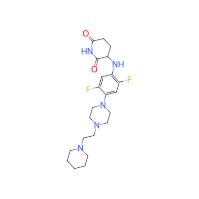 O=C1CCC(Nc2cc(F)c(N3CCN(CCN4CCCCC4)CC3)cc2F)C(=O)N1